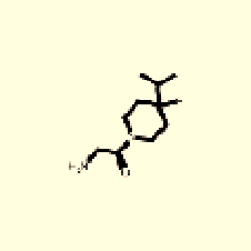 CC(C)C1(F)CCN(C(=O)CN)CC1